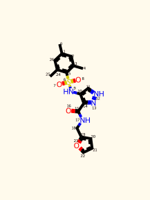 Cc1cc(C)c(S(=O)(=O)Nc2c[nH]nc2C(=O)NCc2ccco2)c(C)c1